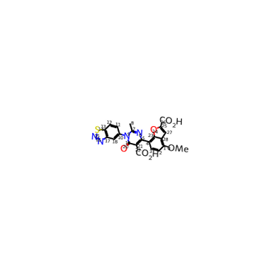 COc1ccc(-c2nc(C)n(-c3ccc4snnc4c3)c(=O)c2C(=O)O)c2oc(C(=O)O)cc12